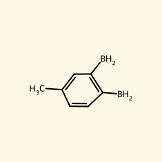 Bc1ccc(C)cc1B